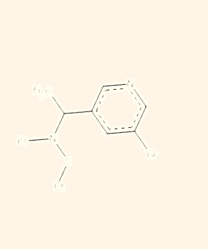 CCSN(CC)C(C)c1cncc(Br)c1